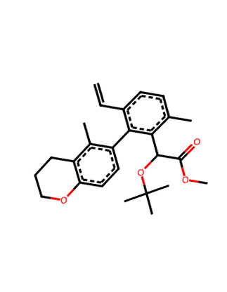 C=Cc1ccc(C)c(C(OC(C)(C)C)C(=O)OC)c1-c1ccc2c(c1C)CCCO2